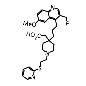 COc1ccc2ncc(CF)c(CCCC3(CC(=O)O)CCN(CCSc4ccccn4)CC3)c2c1